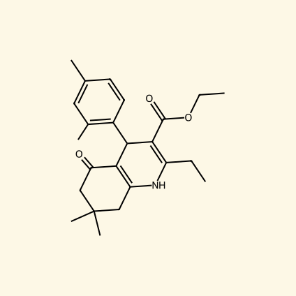 CCOC(=O)C1=C(CC)NC2=C(C(=O)CC(C)(C)C2)C1c1ccc(C)cc1C